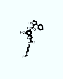 CCOCCCCOC(=O)c1cc2cc(NC(=O)[C@@H]3NCC[C@H]3C3CCCCC3)ccc2o1.Cl